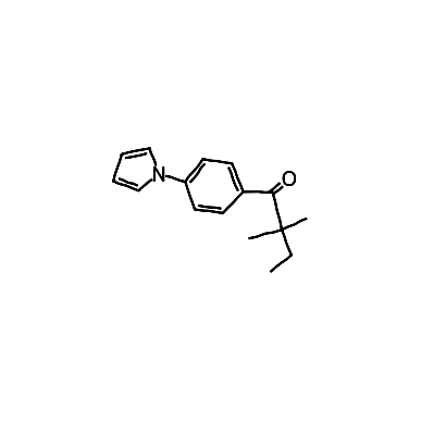 CCC(C)(C)C(=O)c1ccc(-n2cccc2)cc1